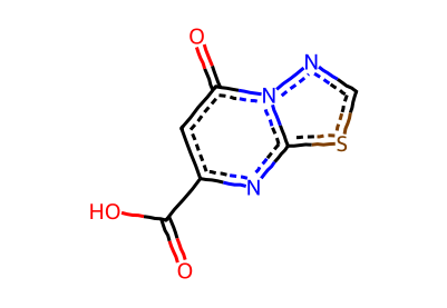 O=C(O)c1cc(=O)n2ncsc2n1